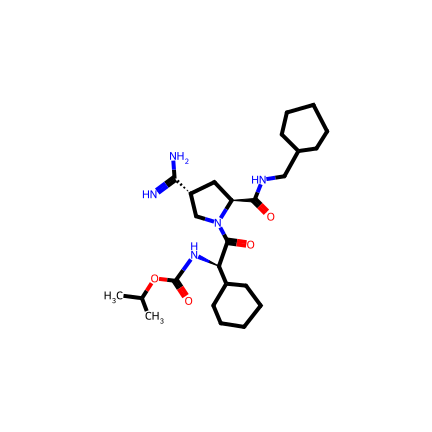 CC(C)OC(=O)N[C@@H](C(=O)N1C[C@H](C(=N)N)C[C@H]1C(=O)NCC1CCCCC1)C1CCCCC1